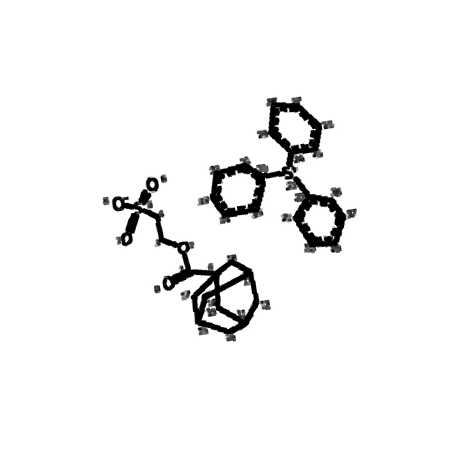 O=C(OCCS(=O)(=O)[O-])C12CC3CC(CC(C3)C1)C2.c1ccc([S+](c2ccccc2)c2ccccc2)cc1